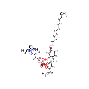 CCCCCCCCCCCCOc1ccc(CC(COP(=O)(O)OCCCC[N+](C)(C)C)CC(=O)CC)cc1